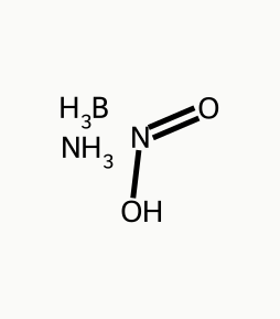 B.N.O=NO